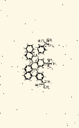 C[Si](C)(C)c1ccc(N2c3cc([Si](C)(C)C)cc4c3B(c3ccc5ccccc5c32)c2ccc3ccccc3c2N4c2ccc([Si](C)(C)C)cc2)cc1